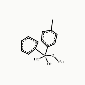 Cc1ccc(P(O)(O)(OC(C)(C)C)c2ccccc2)cc1